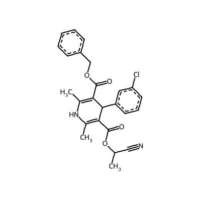 CC1=C(C(=O)OCc2ccccc2)C(c2cccc(Cl)c2)C(C(=O)OC(C)C#N)=C(C)N1